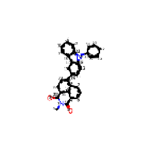 CN1C(=O)c2cccc3c(-c4ccc5c(c4)c4ccccc4n5-c4ccccc4)ccc(c23)C1=O